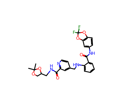 CC1(C)OCC(CNC(=O)c2cc(CNc3ccccc3C(=O)Nc3ccc4c(c3)OC(F)(F)O4)ccn2)O1